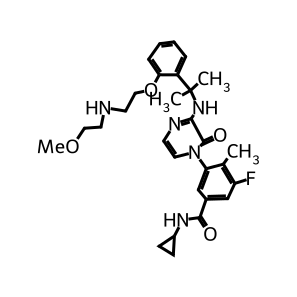 COCCNCCOc1ccccc1C(C)(C)Nc1nccn(-c2cc(C(=O)NC3CC3)cc(F)c2C)c1=O